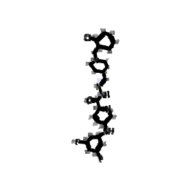 O=C(N/N=C/C1CCN(Cc2ccccc2Cl)CC1)c1ccc(Nc2cc(F)cc(F)c2)cn1